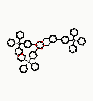 c1ccc([Si](c2ccccc2)(c2ccccc2)c2ccc(-c3ccc4c(c3)C3c5ccc(-c6ccc([Si](c7ccccc7)(c7ccccc7)c7ccccc7)cc6)cc5C4c4cc(-c5ccc([Si](c6ccccc6)(c6ccccc6)c6ccccc6)cc5)ccc43)cc2)cc1